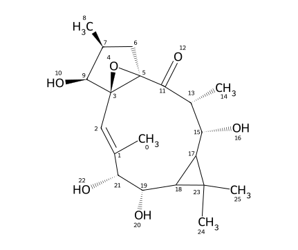 C/C1=C\[C@@]23O[C@@]2(C[C@H](C)[C@@H]3O)C(=O)[C@H](C)[C@H](O)C2C([C@H](O)[C@@H]1O)C2(C)C